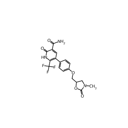 CN1CC(COc2ccc(-c3cc(C(N)=O)c(=O)[nH]c3C(F)(F)F)cc2)OC1=O